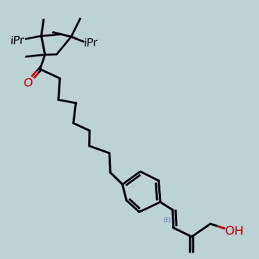 C=C(/C=C/c1ccc(CCCCCCCCC(=O)C(C)(CC(C)(C)C(C)C)C(C)(C)C(C)C)cc1)CO